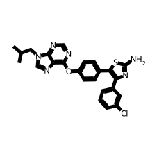 CC(C)Cn1cnc2c(Oc3ccc(-c4sc(N)nc4-c4cccc(Cl)c4)cc3)ncnc21